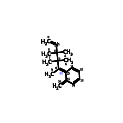 C=NC(C)(C)C(C)(C)/C(C)=c1\ccccc1=C